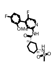 COc1cc(F)ccc1-c1cc(NC(=O)[C@H]2CCC[C@@H](NS(C)(=O)=O)C2)ncc1F